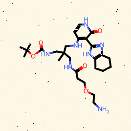 CC(CNC(=O)CCOCCN)(CNC(=O)OC(C)(C)C)CNc1cc[nH]c(=O)c1-c1nc2c([nH]1)CCCC2